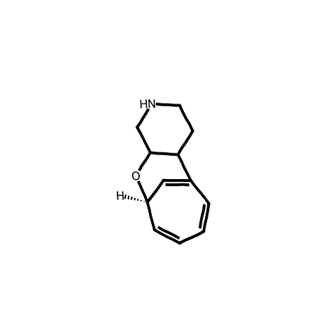 C1=CC2=C[C@@H](C=C1)OC1CNCCC21